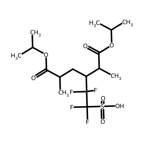 CC(C)OC(=O)C(C)CC(C(C)C(=O)OC(C)C)C(F)(F)C(F)(F)S(=O)(=O)O